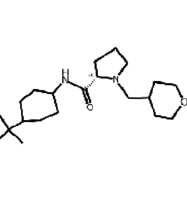 CC(C)(C)C1CCC(NC(=O)[C@@H]2CCCN2CC2CCOCC2)CC1